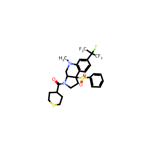 CN1CC2N(C(=O)C3CCSCC3)CCC2(S(=O)(=O)c2ccccc2)c2ccc(C(F)(C(F)(F)F)C(F)(F)F)cc21